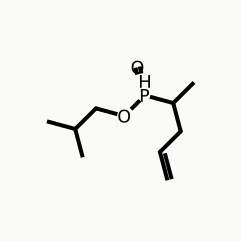 C=CCC(C)[PH](=O)OCC(C)C